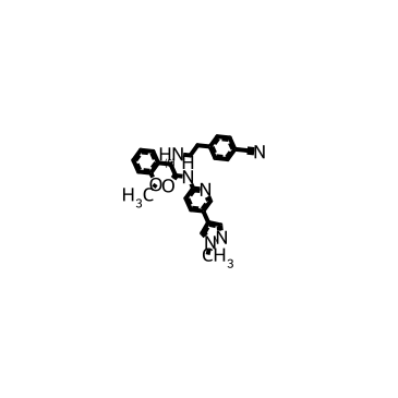 COc1ccccc1[C@H](NCCc1ccc(C#N)cc1)C(=O)Nc1ccc(-c2cnn(C)c2)cn1